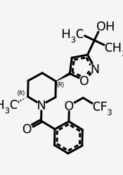 C[C@@H]1CC[C@@H](c2cc(C(C)(C)O)no2)CN1C(=O)c1ccccc1OCC(F)(F)F